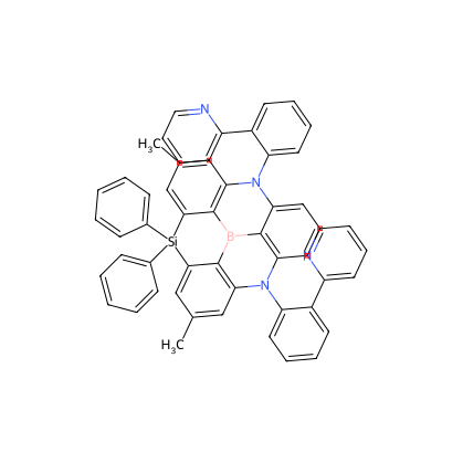 Cc1cc2c3c(c1)[Si](c1ccccc1)(c1ccccc1)c1cc(C)cc4c1B3c1c(cccc1N4c1ccccc1-c1ccccn1)N2c1ccccc1-c1ccccn1